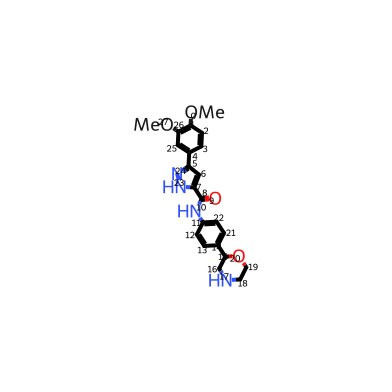 COc1ccc(-c2cc(C(=O)Nc3ccc(C4CNCCO4)cc3)[nH]n2)cc1OC